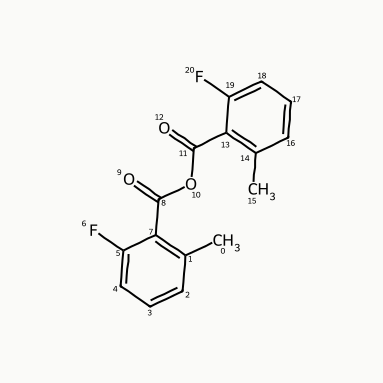 Cc1cccc(F)c1C(=O)OC(=O)c1c(C)cccc1F